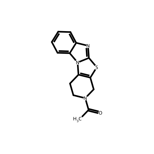 CC(=O)N1CCc2c(sc3nc4ccccc4n23)C1